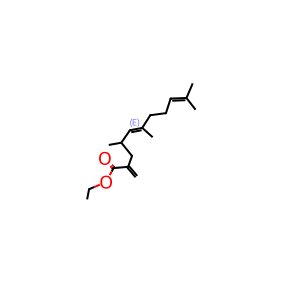 C=C(CC(C)/C=C(\C)CCC=C(C)C)C(=O)OCC